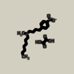 CCCCCCCN(C)CCCCc1ccc([N+](=O)[O-])cc1.O=C(O)C(=O)O